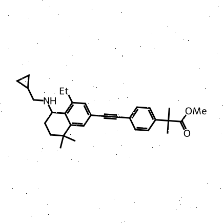 CCc1cc(C#Cc2ccc(C(C)(C)C(=O)OC)cc2)cc2c1C(NCC1CC1)CCC2(C)C